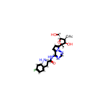 CC(=O)O[C@H]1[C@@H](O)[C@](C)(c2ccc3c(NC(=O)[C@@H](N)Cc4ccc(F)cc4)ncnn23)O[C@@H]1CO